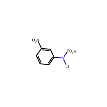 CCN(C(=O)O)c1cccc([N+](=O)[O-])c1